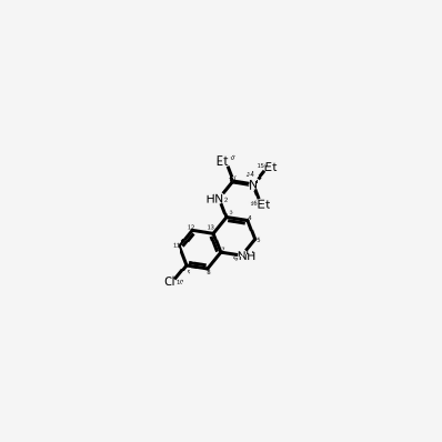 CCC(NC1=CCNc2cc(Cl)ccc21)N(CC)CC